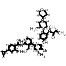 C=CC(=O)N(C)c1cc(Nc2nc(-c3ccnc(NC(=O)c4ccc(C5CC5)cc4F)c3CO)cn(C)c2=O)ccc1N1CCN(C2CCOCC2)C[C@@H]1C